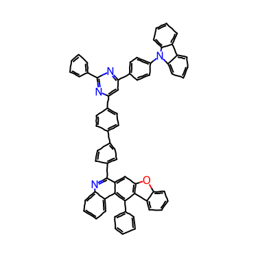 c1ccc(-c2nc(-c3ccc(-c4ccc(-c5nc6ccccc6c6c(-c7ccccc7)c7c(cc56)oc5ccccc57)cc4)cc3)cc(-c3ccc(-n4c5ccccc5c5ccccc54)cc3)n2)cc1